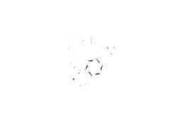 COc1ccc2c(c1)N(CCCC(=O)O)C(C)(C)CC2C